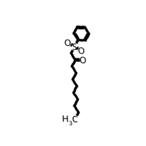 CCCCCCCCCC(=O)CS(=O)(=O)c1ccccc1